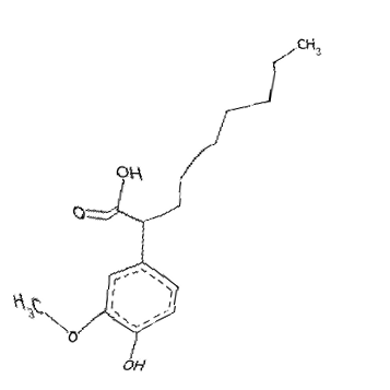 CCCCCCCC(C(=O)O)c1ccc(O)c(OC)c1